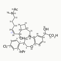 CCCc1cc(Cl)ccc1C1COc2ccc(C(O)C(=O)O)cc2N(CC2CCC2C(O)/C=C\CCCN(C)C(C)=O)C1